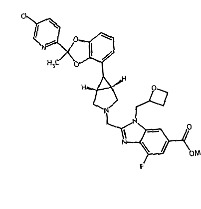 COC(=O)c1cc(F)c2nc(CN3C[C@@H]4C(c5cccc6c5OC(C)(c5ccc(Cl)cn5)O6)[C@@H]4C3)n(CC3CCO3)c2c1